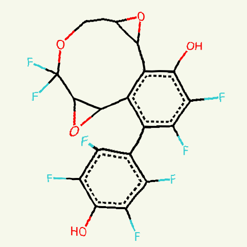 Oc1c(F)c(F)c(-c2c(F)c(F)c(O)c3c2C2OC2C(F)(F)OCC2OC32)c(F)c1F